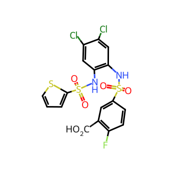 O=C(O)c1cc(S(=O)(=O)Nc2cc(Cl)c(Cl)cc2NS(=O)(=O)c2cccs2)ccc1F